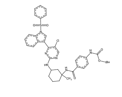 CC1(NC(=O)c2ccc(NC(=O)OC(C)(C)C)cc2)CCCC(Nc2ncc(Cl)c(-c3cn(S(=O)(=O)c4ccccc4)c4ccccc34)n2)C1